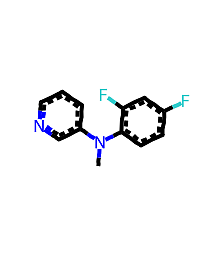 CN(c1cccnc1)c1ccc(F)cc1F